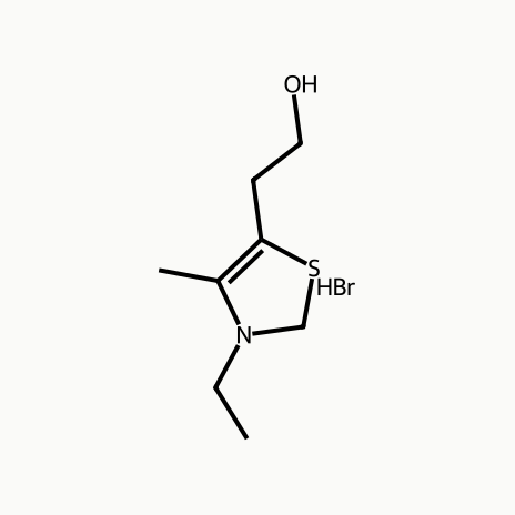 Br.CCN1CSC(CCO)=C1C